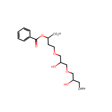 COCC(O)COCC(O)COCCC(OC(=O)c1ccccc1)C(=O)O